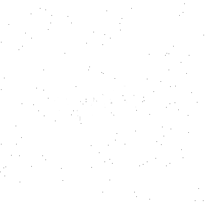 CCS/C(=N\C1=CNCC2(c3ccc(F)cc3F)CO[C@@]12C)NC(=O)c1ccccc1